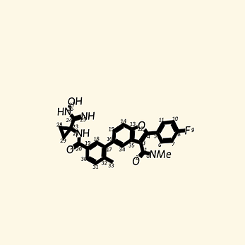 CNC(=O)c1c(-c2ccc(F)cc2)oc2ccc(-c3cc(C(=O)NC4(C(=N)NO)CC4)ccc3C)cc12